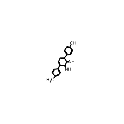 Cc1ccc(C2=CC=C(c3ccc(C)cc3)C(=N)C2=N)cc1